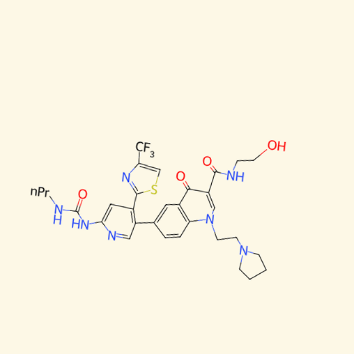 CCCNC(=O)Nc1cc(-c2nc(C(F)(F)F)cs2)c(-c2ccc3c(c2)c(=O)c(C(=O)NCCO)cn3CCN2CCCC2)cn1